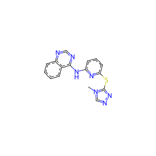 Cn1cnnc1Sc1cccc(Nc2ncnc3ccccc23)n1